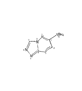 CC(C)(C)c1ccc2nncn2n1